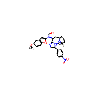 COc1ccc2oc(N(C=O)C(Cc3ccccn3)c3ncc(-c4ccc([N+](=O)[O-])cc4)n3C)cc2c1